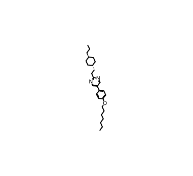 CCCCCCCOc1ccc(-c2cnc(CC[C@H]3CC[C@H](CCC)CC3)nc2)cc1